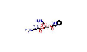 NCCC[C@H](N)C(=O)OCC(COC(=O)[C@@H](N)Cc1ccccc1)OC(=O)CN